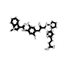 Cn1cc(C(=O)Nc2cc(F)c(CC(=O)CON3CCC[C@H]3c3cc(CCC(=O)O)on3)cc2Cl)c2ccccc21